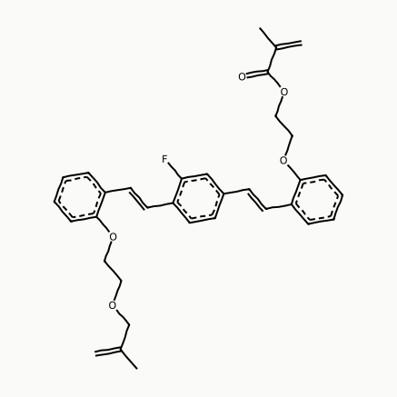 C=C(C)COCCOc1ccccc1/C=C/c1ccc(/C=C/c2ccccc2OCCOC(=O)C(=C)C)cc1F